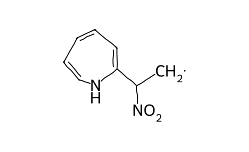 [CH2]C(C1=CC=CC=CN1)[N+](=O)[O-]